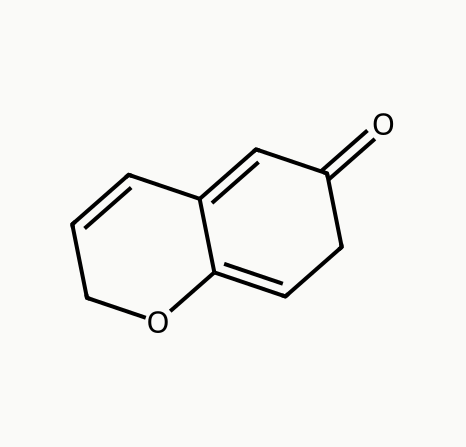 O=C1C=C2C=CCOC2=CC1